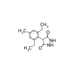 CCc1cc(C)cc(CC)c1C1C(=O)NNC1=O